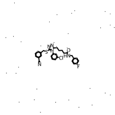 N#Cc1cccc(CSc2nnc(CCCCC(=O)NCc3ccc(F)cc3)n2-c2cccc(Cl)c2)c1